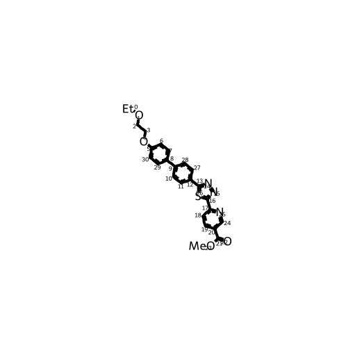 CCOCCOc1ccc(-c2ccc(-c3nnc(-c4ccc(C(=O)OC)cn4)s3)cc2)cc1